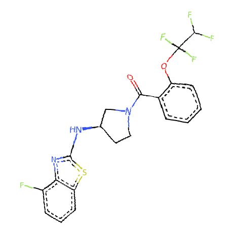 O=C(c1ccccc1OC(F)(F)C(F)F)N1CC[C@@H](Nc2nc3c(F)cccc3s2)C1